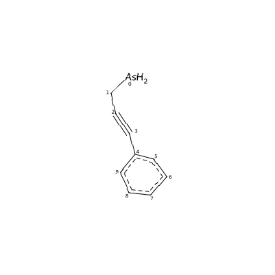 [AsH2]CC#Cc1ccccc1